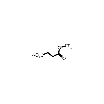 O=C(O)CCC(=O)OC(F)(F)F